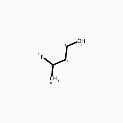 C[C](F)CCO